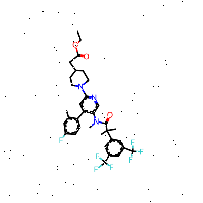 CCOC(=O)CC1CCN(c2cc(-c3ccc(F)cc3C)c(N(C)C(=O)C(C)(C)c3cc(C(F)(F)F)cc(C(F)(F)F)c3)cn2)CC1